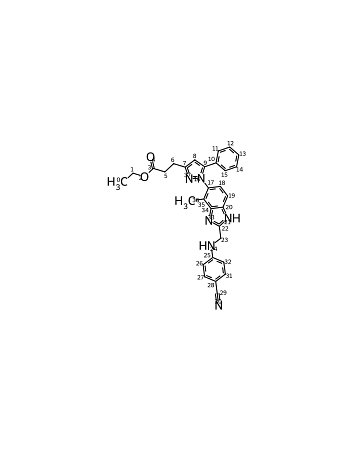 CCOC(=O)CCc1cc(-c2ccccc2)n(-c2ccc3[nH]c(CNc4ccc(C#N)cc4)nc3c2C)n1